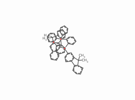 CC1(C)c2ccccc2-c2ccc(N(c3ccccc3C3(c4ccccc4)c4ccccc4-c4ccccc43)c3c4c(cc5ccccc35)C(C)(C)c3ccccc3-4)cc21